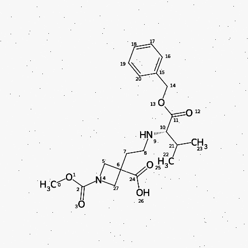 COC(=O)N1CC(CCN[C@H](C(=O)OCc2ccccc2)C(C)C)(C(=O)O)C1